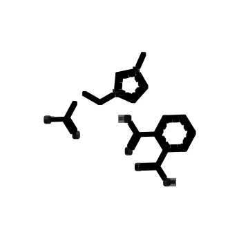 CC(=O)[O-].CC[n+]1ccn(C)c1.O=C(O)c1ccccc1C(=O)O